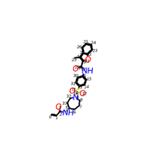 C=CC(=O)NC1CCCN(S(=O)(=O)c2ccc(NC(=O)c3oc4ccccc4c3C)cc2)CC1